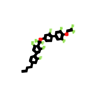 C=CCCc1ccc(-c2cc(F)c(C(F)(F)Oc3ccc(-c4cc(F)c(OC=C(F)F)c(F)c4)c(F)c3)c(F)c2)c(F)c1